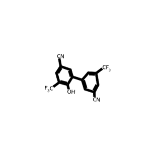 N#Cc1cc(-c2cc(C#N)cc(C(F)(F)F)c2O)cc(C(F)(F)F)c1